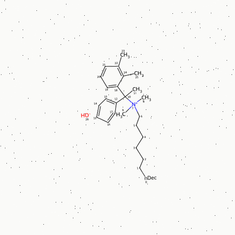 CCCCCCCCCCCCCCCC[N+](C)(C)C(C)(c1ccccc1)c1cccc(C)c1C.[OH-]